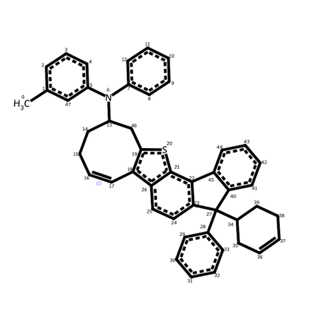 Cc1cccc(N(c2ccccc2)C2CC/C=C\c3c(sc4c5c(ccc34)C(c3ccccc3)(C3CC=CCC3)c3ccccc3-5)C2)c1